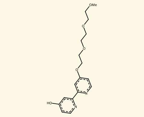 COCCOCCOCCOc1ccnc(-c2cc(O)ccn2)c1